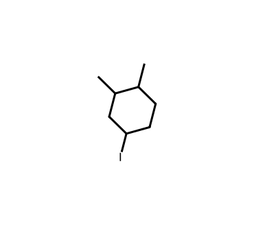 CC1CCC(I)CC1C